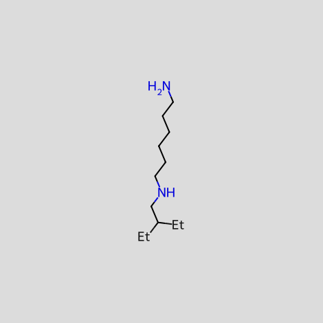 CCC(CC)CNCCCCCCN